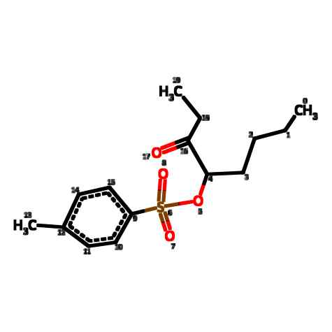 CCCCC(OS(=O)(=O)c1ccc(C)cc1)C(=O)CC